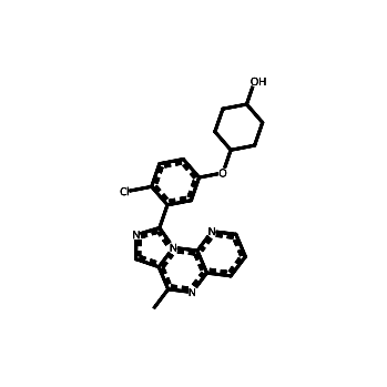 Cc1nc2cccnc2n2c(-c3cc(OC4CCC(O)CC4)ccc3Cl)ncc12